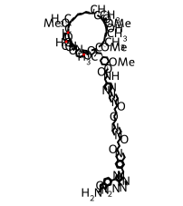 CO[C@H]1C[C@@H]2CC[C@@H](C)[C@@](O)(O2)C(=O)C(=O)N2CCCC[C@H]2C(=O)O[C@H]([C@H](C)C[C@@H]2CC[C@@H](OC(=O)NCc3cnc(N4CCN(C(=O)CCOCCN5CCN(C(=O)CCC(=O)N6CCc7cc(Cn8nc(-c9ccc%10oc(N)nc%10c9)c9c(N)ncnc98)ccc7C6)CC5)CC4)nc3)[C@H](OC)C2)C[C@@H](OC)[C@H](C)/C=C(\C)[C@@H](O)[C@@H](OC)C(=O)[C@H](C)C[C@H](C)/C=C/C=C/C=C/1C